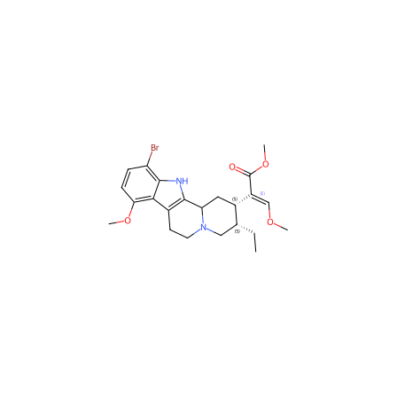 CC[C@@H]1CN2CCc3c([nH]c4c(Br)ccc(OC)c34)C2C[C@@H]1/C(=C\OC)C(=O)OC